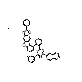 c1ccc(-c2nc(-c3ccc4ccccc4c3)nc(-c3ccccc3-c3cccc4oc5cc6nc(-c7ccccc7)oc6cc5c34)n2)cc1